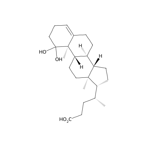 C[C@H](CCC(=O)O)[C@H]1CC[C@H]2[C@@H]3CCC4=CCCC(O)(O)[C@]4(C)[C@H]3CC[C@]12C